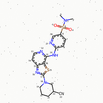 CN(C)S(=O)(=O)c1ccc(Nc2nccc3nc(N4CCCC(C#N)C4)sc23)nc1